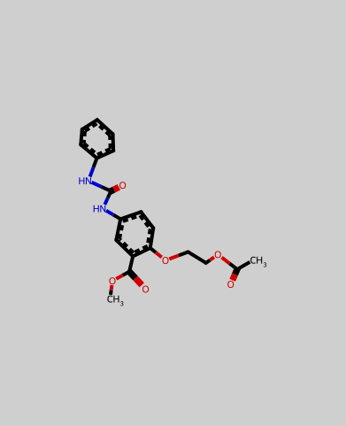 COC(=O)c1cc(NC(=O)Nc2ccccc2)ccc1OCCOC(C)=O